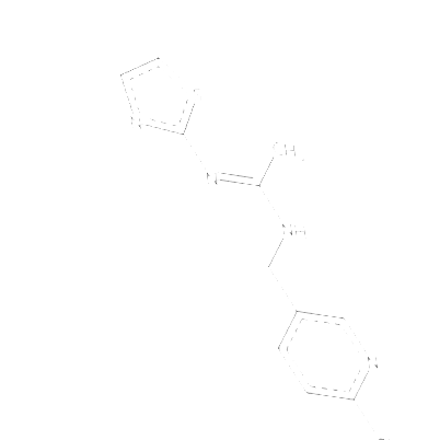 CC(=Nc1nccs1)NCc1ccc(Cl)nc1